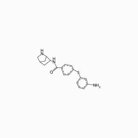 Nc1cccc(Sc2ccc(C(=O)NC3CC4CNC3C4)cc2)c1